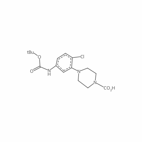 CC(C)(C)OC(=O)Nc1ccc(Cl)c(N2CCN(C(=O)O)CC2)c1